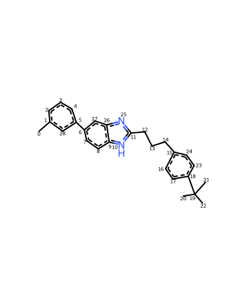 Cc1cccc(-c2ccc3[nH]c(CCCc4ccc(C(C)(C)C)cc4)nc3c2)c1